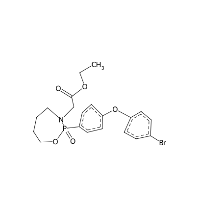 CCOC(=O)CN1CCCCOP1(=O)c1ccc(Oc2ccc(Br)cc2)cc1